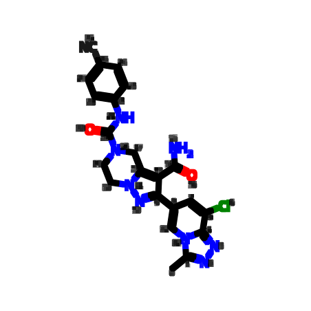 Cc1nnc2c(Cl)cc(-c3nn4c(c3C(N)=O)CN(C(=O)Nc3ccc(C#N)cc3)CC4)cn12